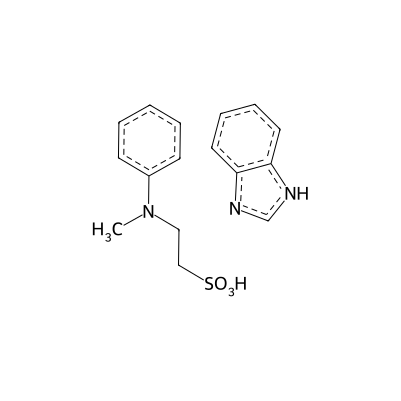 CN(CCS(=O)(=O)O)c1ccccc1.c1ccc2[nH]cnc2c1